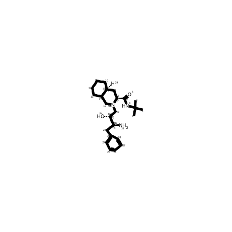 CC(C)(C)NC(=O)[C@@H]1C[C@@H]2CCCCC2CN1C[C@@H](O)[C@@H](N)Cc1ccccc1